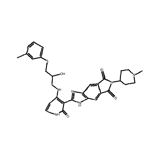 Cc1cccc(SCC(O)CNc2cc[nH]c(=O)c2-c2nc3cc4c(cc3[nH]2)C(=O)N(C2CCN(C)CC2)C4=O)c1